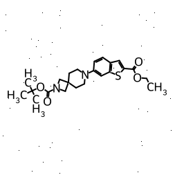 CCOC(=O)c1cc2ccc(N3CCC4(CC3)CN(C(=O)OC(C)(C)C)C4)cc2s1